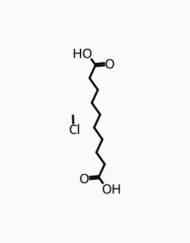 CCl.O=C(O)CCCCCCCCC(=O)O